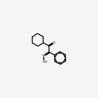 O=C(/C(=N/O)c1ccccc1)C1CCCCC1